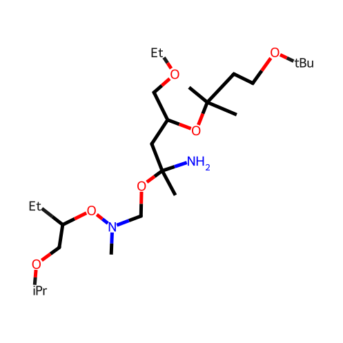 CCOCC(CC(C)(N)OCN(C)OC(CC)COC(C)C)OC(C)(C)CCOC(C)(C)C